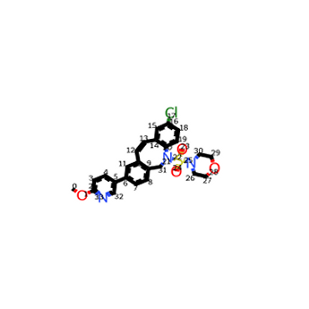 COc1ccc(-c2ccc3c(c2)C=Cc2cc(Cl)ccc2N(S(=O)(=O)N2CCOCC2)C3)cn1